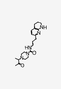 CC(=O)C(C)N1CCN(C(=O)NCCCc2ccc3c(n2)NCCC3)CC1